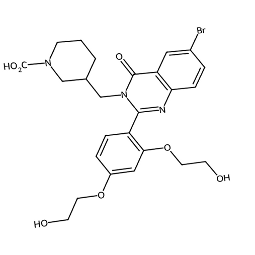 O=C(O)N1CCCC(Cn2c(-c3ccc(OCCO)cc3OCCO)nc3ccc(Br)cc3c2=O)C1